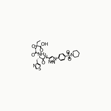 CC[C@]1(C(=O)O)O[C@@H]1C(=O)N[C@@H](Cc1cscn1)C(=O)N(C)c1cn(-c2ccc(S(=O)(=O)N3CCCCC3)cc2)nn1